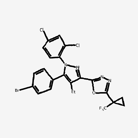 CCc1c(-c2nnc(C3(C(F)(F)F)CC3)o2)nn(-c2ccc(Cl)cc2Cl)c1-c1ccc(Br)cc1